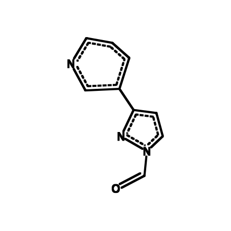 O=Cn1ccc(-c2cccnc2)n1